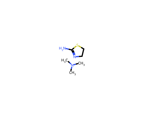 CN(C)C.NC1=NCCS1